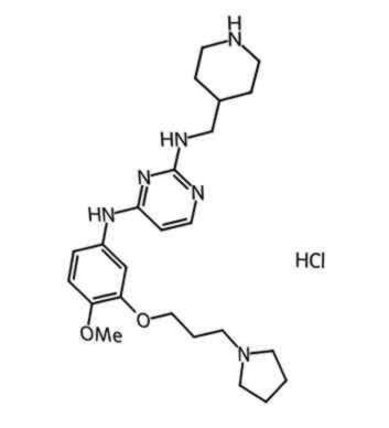 COc1ccc(Nc2ccnc(NCC3CCNCC3)n2)cc1OCCCN1CCCC1.Cl